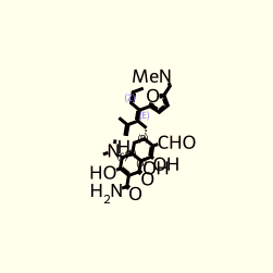 C=C(C)/C(C[C@H]1C[C@H]2[C@H](N(C)C)C(O)=C(C(N)=O)C(=O)[C@@]2(O)C(O)=C1C=O)=C(\C=C/C)c1ccc(CNC)o1